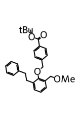 COCc1cccc(CCc2ccccc2)c1OCc1ccc(C(=O)OC(C)(C)C)cc1